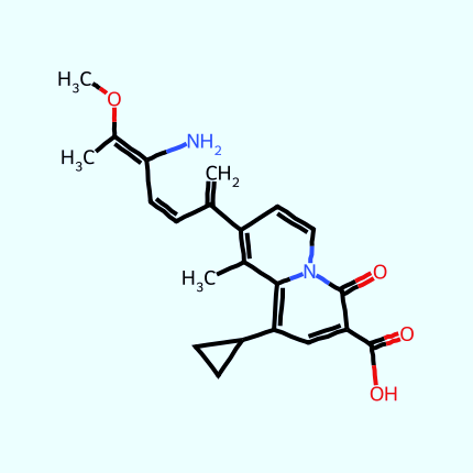 C=C(/C=C\C(N)=C(/C)OC)c1ccn2c(=O)c(C(=O)O)cc(C3CC3)c2c1C